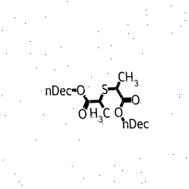 CCCCCCCCCCOC(=O)C(C)SC(C)C(=O)OCCCCCCCCCC